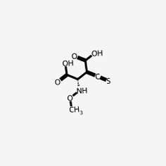 CON[C@H](C(=O)O)C(=C=S)C(=O)O